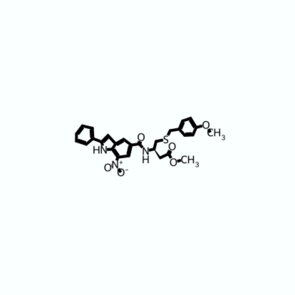 COC(=O)C[C@H](CSCc1ccc(OC)cc1)NC(=O)c1cc([N+](=O)[O-])c2[nH]c(-c3ccccc3)cc2c1